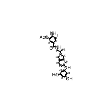 CCC(CNC(=O)c1ccc(N)c(OC(C)=O)c1)N1Cc2cnc(Nc3cc(O)cc(O)c3)nc2C1